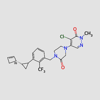 Cn1ncc(N2CCN(Cc3cccc(C4CC4[C@H]4C=CC4)c3C(F)(F)F)C(=O)C2)c(Cl)c1=O